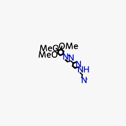 COc1cc(N2C=CC(c3ccc(NCCCN(C)C)nc3)=NC2)cc(OC)c1OC